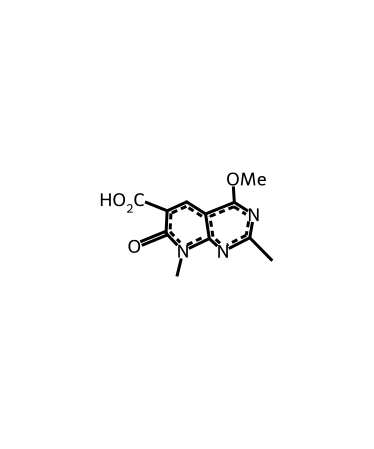 COc1nc(C)nc2c1cc(C(=O)O)c(=O)n2C